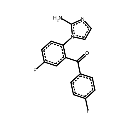 Nc1nccn1-c1ccc(F)cc1C(=O)c1ccc(F)cc1